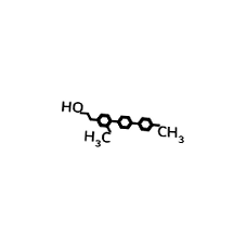 CCc1ccc(-c2ccc(-c3ccc(CCCO)cc3CC)cc2)cc1